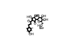 O=C(C=Cc1ccc(O)cc1)C1=C(O)C(O)C(C2O[C@H](CO)[C@@H](O)[C@H](O)[C@H]2O)C1=O.[Na]